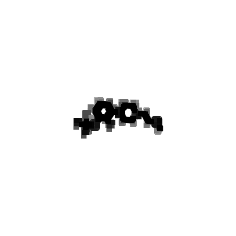 COCCN1CCN(c2cccc(OC(F)(F)F)c2F)CC1